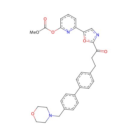 COC(=O)Oc1cccc(-c2cnc(C(=O)CCc3ccc(-c4ccc(CN5CCOCC5)cc4)cc3)o2)n1